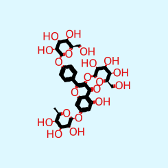 C[C@H]1O[C@H](Oc2cc(O)c3c(=O)c(O[C@@H]4O[C@H](CO)[C@@H](O)[C@H](O)[C@H]4O)c(-c4ccc(O[C@@H]5O[C@H](CO)[C@@H](O)[C@H](O)[C@H]5O)cc4)oc3c2)[C@@H](O)[C@@H](O)[C@@H]1O